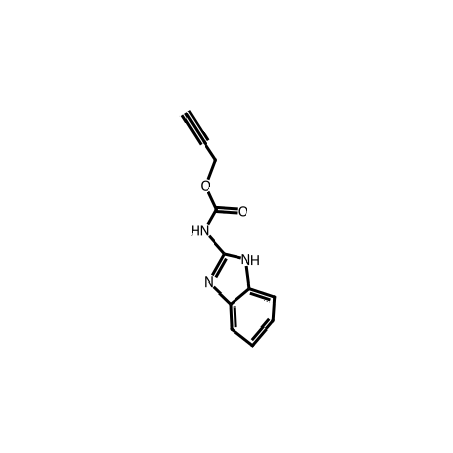 C#CCOC(=O)Nc1nc2ccccc2[nH]1